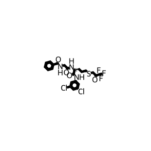 O=C(CNC(=O)c1ccccc1)N[C@@H](CCCSCC(=O)C(F)(F)F)C(=O)Nc1cc(Cl)cc(Cl)c1